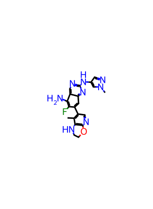 Cc1c(-c2cc3nc(Nc4cnn(C)c4)ncc3c(N)c2F)cnc2c1NCCO2